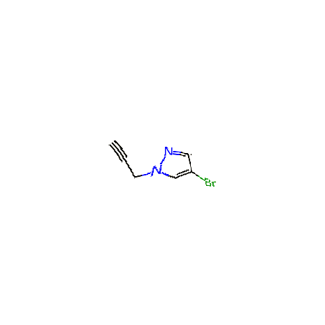 C#CCn1cc(Br)[c]n1